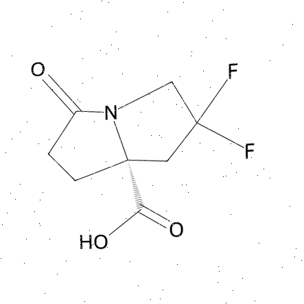 O=C1CC[C@]2(C(=O)O)CC(F)(F)CN12